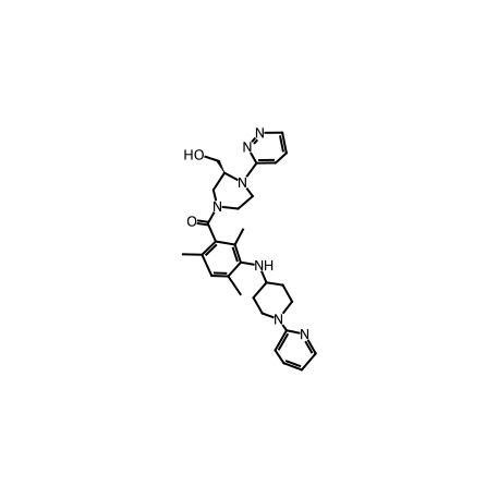 Cc1cc(C)c(C(=O)N2CCN(c3cccnn3)[C@H](CO)C2)c(C)c1NC1CCN(c2ccccn2)CC1